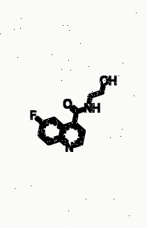 O=C(NCCO)c1ccnc2ccc(F)cc12